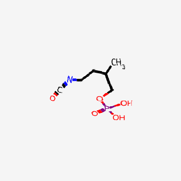 CC(CCN=C=O)COP(=O)(O)O